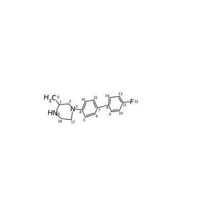 CC1CN(c2ccc(-c3ccc(F)cc3)cc2)CCN1